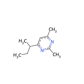 CCC(C)c1cc(C)nc(C)n1